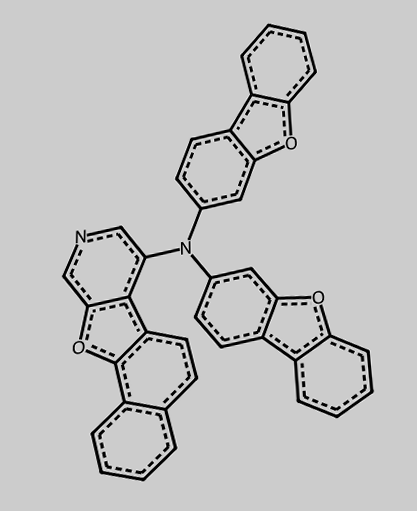 c1ccc2c(c1)ccc1c2oc2cncc(N(c3ccc4c(c3)oc3ccccc34)c3ccc4c(c3)oc3ccccc34)c21